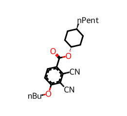 CCCCC[C@H]1CC[C@H](OC(=O)c2ccc(OCCCC)c(C#N)c2C#N)CC1